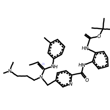 C=C(Nc1ccccc1NC(=O)c1ccc(CN(CCCN(C)C)/C(=C\C)Nc2cccc(C)c2)cn1)OC(C)(C)C